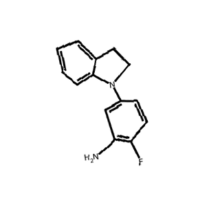 Nc1cc(N2CCc3ccccc32)ccc1F